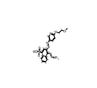 COCCOc1ccc(/N=N/c2cc(S(=O)(=O)O)c3ccccc3c2N=NN)cn1